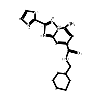 Nc1cc(C(=O)NCC2CCCCC2)cc2nc(-c3nccs3)nn12